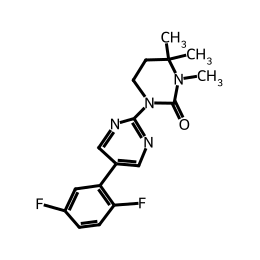 CN1C(=O)N(c2ncc(-c3cc(F)ccc3F)cn2)CCC1(C)C